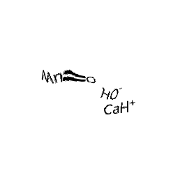 [CaH+].[OH-].[O]=[Mn]